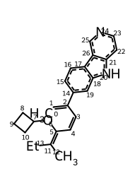 C\C=C(/C=C\C(OC1CCC1)=C(/C)CC)c1ccc2c(c1)[nH]c1ccncc12